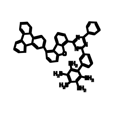 Bc1c(B)c(B)c(-c2cccc(-c3nc(-c4ccccc4)nc(-c4cccc5c4oc4cccc(-c6ccc7c8ccccc8c8ccccc8c7c6)c45)n3)c2)c(B)c1B